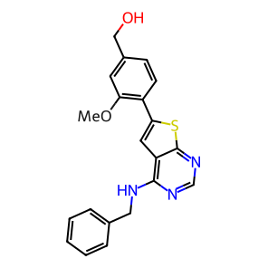 COc1cc(CO)ccc1-c1cc2c(NCc3ccccc3)ncnc2s1